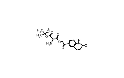 CC(C)(C)OC(=O)C(N)C(=O)OCC(=O)c1ccc2c(c1)CCC(=O)N2